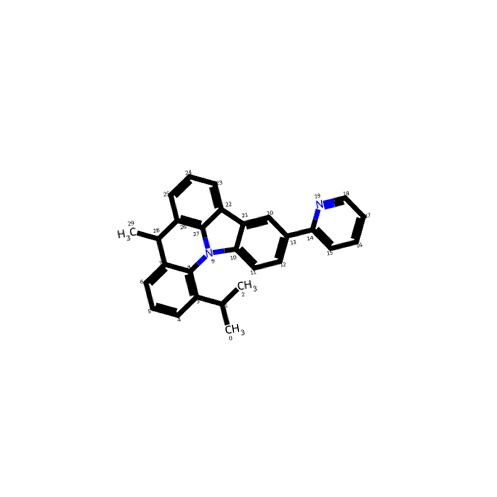 CC(C)c1cccc2c1-n1c3ccc(-c4ccccn4)cc3c3cccc(c31)C2C